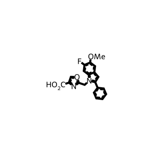 COc1cc2cc(-c3ccccc3)n(Cc3nc(C(=O)O)co3)c2cc1F